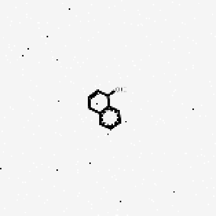 O=C[C]1C=CCc2ccccc21